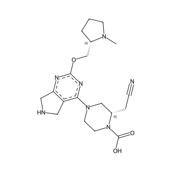 CN1CCC[C@H]1COc1nc2c(c(N3CCN(C(=O)O)[C@@H](CC#N)C3)n1)CNC2